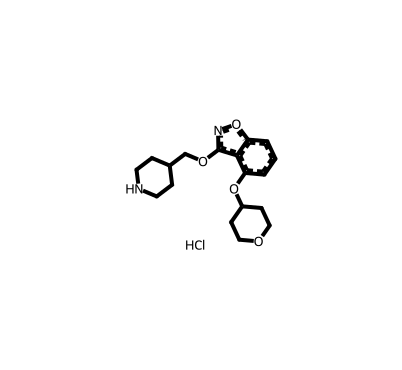 Cl.c1cc(OC2CCOCC2)c2c(OCC3CCNCC3)noc2c1